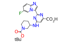 CC(C)(C)OC(=O)N1CCCC(Nc2cc(C(=O)O)nc(-c3cnc4ccc(F)cn34)n2)C1